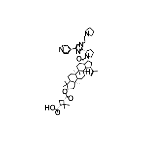 C=C(C)[C@@H]1CC[C@]2(C(=O)N3CCC[C@H]3c3nc(-c4ccncc4)cn3CCN3CCCC3)CC[C@]3(C)[C@H](CCC4[C@@]5(C)CC[C@H](OC(=O)[C@H]6C[C@@H](C(=O)O)C6(C)C)C(C)(C)C5CC[C@]43C)C12